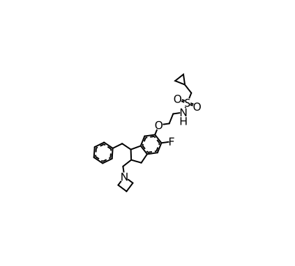 O=S(=O)(CC1CC1)NCCOc1cc2c(cc1F)CC(CN1CCC1)C2Cc1ccccc1